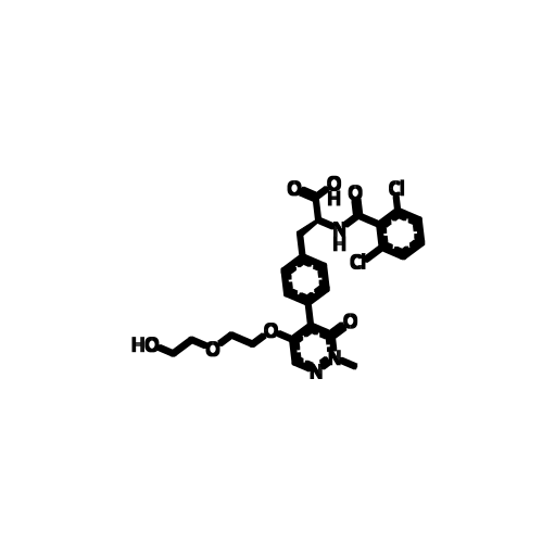 Cn1ncc(OCCOCCO)c(-c2ccc(C[C@H](NC(=O)c3c(Cl)cccc3Cl)C(=O)O)cc2)c1=O